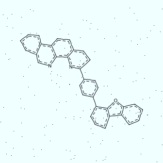 c1ccc2c(c1)cnc1c2ccc2ccc(-c3ccc(-c4cccc5c4oc4ccccc45)cc3)nc21